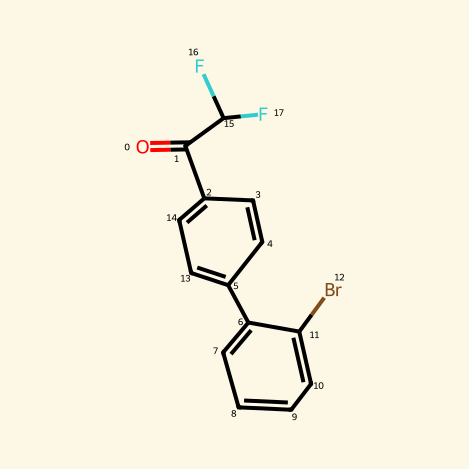 O=C(c1ccc(-c2ccccc2Br)cc1)C(F)F